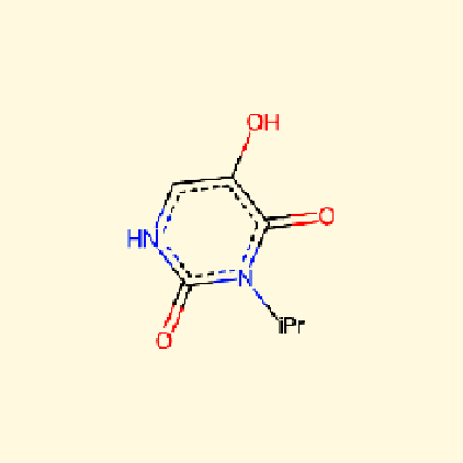 CC(C)n1c(=O)[nH]cc(O)c1=O